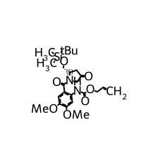 C=CCOC(=O)Nc1cc(OC)c(OC)cc1C(=O)N1CC(=O)C[C@H]1CO[Si](C)(C)C(C)(C)C